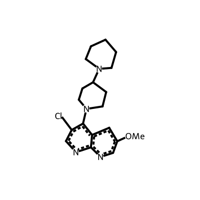 COc1cnc2ncc(Cl)c(N3CCC(N4CCCCC4)CC3)c2c1